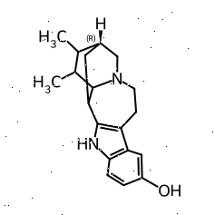 CC1C(C)[C@H]2CC3c4[nH]c5ccc(O)cc5c4CCN(C2)C31